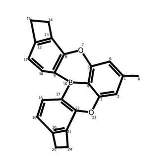 Cc1cc2c3c(c1)Oc1c(ccc4c1CC4)B3c1ccc3c(c1O2)CC3